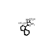 NC(C(=O)O)[C@](N)(C(=O)O)C(=O)c1cccc2ccccc12